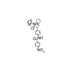 O=C(Nc1ccc(C(CC2CCCC2)C(=O)Nc2nccs2)cc1)c1ccc([N+](=O)[O-])cc1